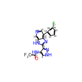 O=C(Nc1c[nH]nc1-c1nc2c(-c3cccc(F)c3)cncc2[nH]1)C(F)(F)F